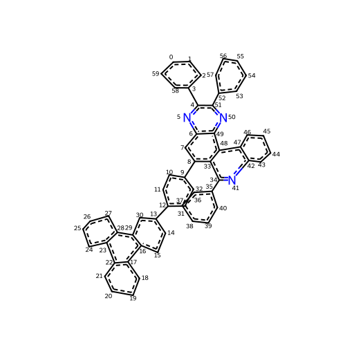 c1ccc(-c2nc3cc(-c4ccc(-c5ccc6c7ccccc7c7ccccc7c6c5)cc4)c4c(-c5ccccc5)nc5ccccc5c4c3nc2-c2ccccc2)cc1